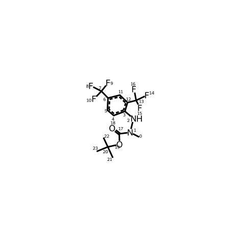 CN(Nc1ccc(C(F)(F)F)cc1C(F)(F)F)C(=O)OC(C)(C)C